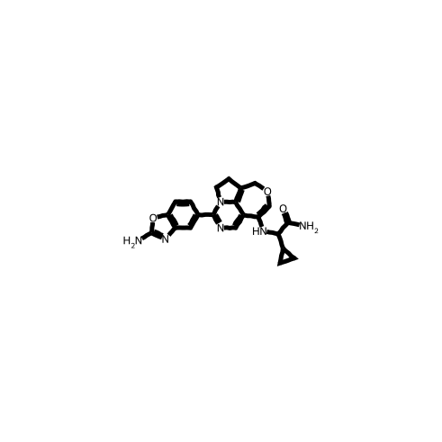 NC(=O)C(NC1=COCC2=C3C1=CN=C(c1ccc4oc(N)nc4c1)N3CC2)C1CC1